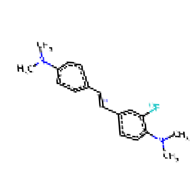 CN(C)c1ccc(/C=C/c2ccc(N(C)C)c([18F])c2)cc1